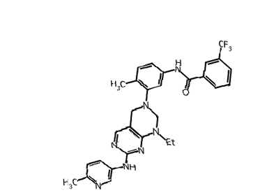 CCN1CN(c2cc(NC(=O)c3cccc(C(F)(F)F)c3)ccc2C)Cc2cnc(Nc3ccc(C)nc3)nc21